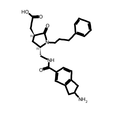 NC1Cc2ccc(C(=O)NC[C@@H]3C[C@@H](CC(=O)O)C(=O)N3CCCc3ccccc3)cc2C1